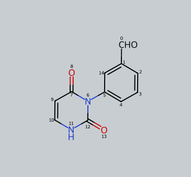 O=Cc1cccc(-n2c(=O)cc[nH]c2=O)c1